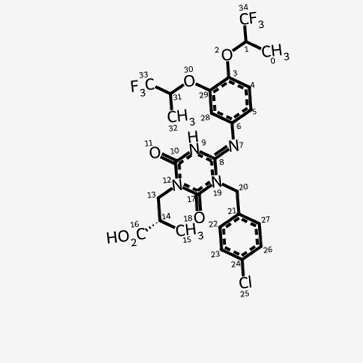 CC(Oc1ccc(/N=c2\[nH]c(=O)n(C[C@H](C)C(=O)O)c(=O)n2Cc2ccc(Cl)cc2)cc1OC(C)C(F)(F)F)C(F)(F)F